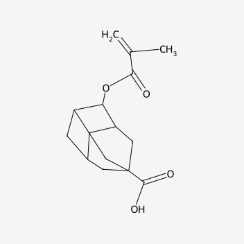 C=C(C)C(=O)OC1C2CC3CC1CC(C(=O)O)(C3)C2